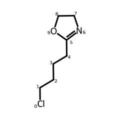 ClCCCCC1=NCCO1